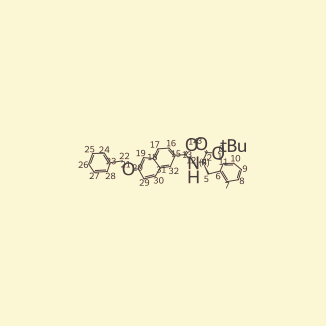 CC(C)(C)OC(=O)[C@@H](Cc1ccccc1)NC(=O)c1ccc2cc(OCc3ccccc3)ccc2c1